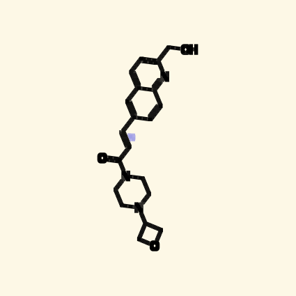 O=C(/C=C/c1ccc2nc(CO)ccc2c1)N1CCN(C2COC2)CC1